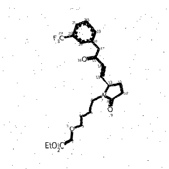 CCOC(=O)COCCCCN1C(=O)CC[C@@H]1/C=C/C(=O)Cc1cccc(C(F)(F)F)c1